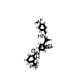 CN(C)c1ccc(CNC2CC2c2ccc(NC(=O)c3cccc(C(F)(F)F)c3)cc2)cc1.Cl.Cl